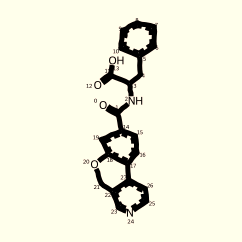 O=C(NC(Cc1ccccc1)C(=O)O)c1ccc2c(c1)OCc1cnccc1-2